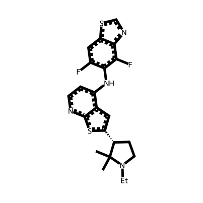 CCN1CC[C@@H](c2cc3c(Nc4c(F)cc5scnc5c4F)ccnc3s2)C1(C)C